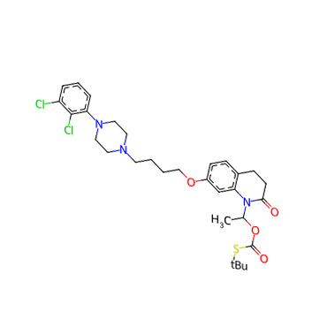 CC(OC(=O)SC(C)(C)C)N1C(=O)CCc2ccc(OCCCCN3CCN(c4cccc(Cl)c4Cl)CC3)cc21